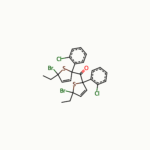 CCC1(Br)C=CC(C(=O)C2(c3ccccc3Cl)C=CC(Br)(CC)S2)(c2ccccc2Cl)S1